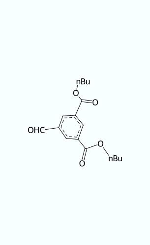 CCCCOC(=O)c1cc(C=O)cc(C(=O)OCCCC)c1